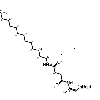 CCCCCCCC=C(C)NC(=O)CCC(=O)NCCCCCCCCCCCCN